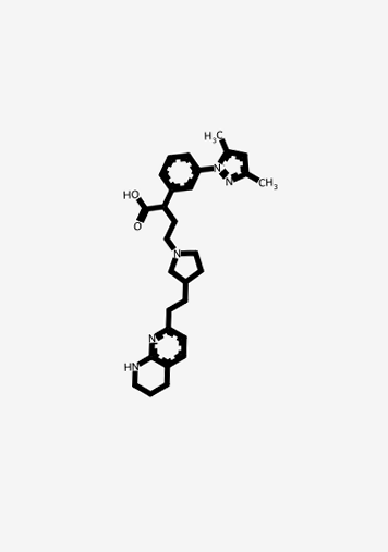 Cc1cc(C)n(-c2cccc(C(CCN3CCC(CCc4ccc5c(n4)NCCC5)C3)C(=O)O)c2)n1